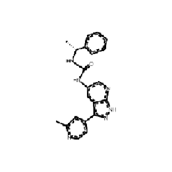 Cc1cc(-c2n[nH]c3ncc(NC(=O)N[C@H](C)c4ccccc4)cc23)ccn1